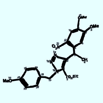 CCOC(=O)c1c(C(O)c2cc(OC)c(OC)cc2[N+](=O)[O-])nnn1Cc1ccc(OC)cc1